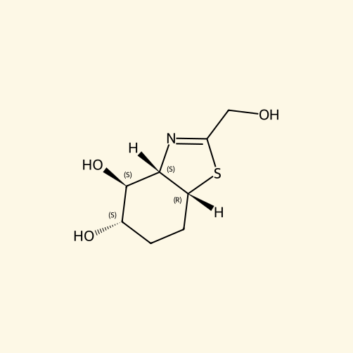 OCC1=N[C@H]2[C@H](O)[C@@H](O)CC[C@H]2S1